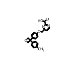 CCC(O)c1nccc(COc2ccc(C3(c4ccc(C)cc4)COC3)cc2)n1